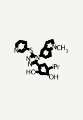 CC(C)c1cc(-c2nnc(Sc3cccnc3)n2-c2ccc3c(ccn3C)c2)c(O)cc1O